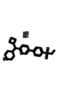 CCS(=O)(=O)c1ccc(-c2ccc(C(C3CCC3)C3CCNCC3)nc2)cc1.Cl.Cl